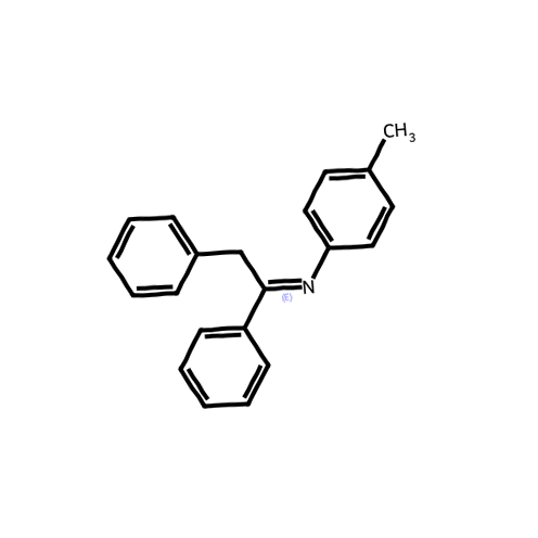 Cc1ccc(/N=C(\Cc2ccccc2)c2ccccc2)cc1